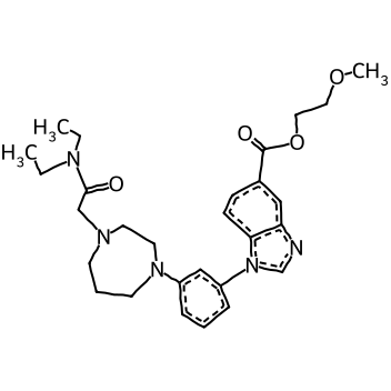 CCN(CC)C(=O)CN1CCCN(c2cccc(-n3cnc4cc(C(=O)OCCOC)ccc43)c2)CC1